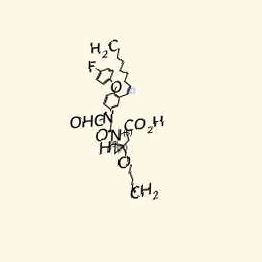 C=CCCCCC/C=C\c1cc(N(C=O)CC(=O)N2[C@H]3C[C@@]3(COCCCC=C)C[C@H]2C(=O)O)ccc1Oc1ccc(F)cc1